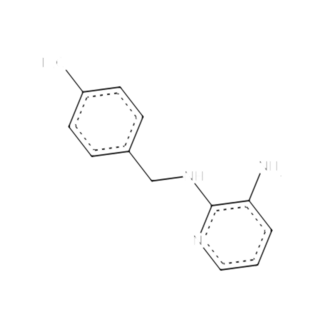 Nc1cccnc1NCc1ccc(C(F)(F)F)cc1